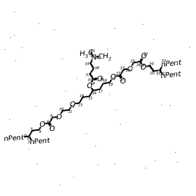 CCCCCC(CCCCC)CCOC(=O)COCCOCCCC(CCCOC(=O)COCC(=O)OCCC(CCCCC)CCCCC)OC(=O)CCCN(C)C